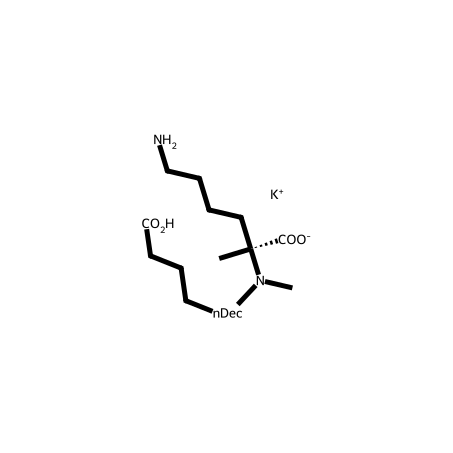 CCCCCCCCCCCCCC(=O)O.CN(C)[C@@](C)(CCCCN)C(=O)[O-].[K+]